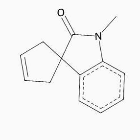 CN1C(=O)C2(CC=CC2)c2ccccc21